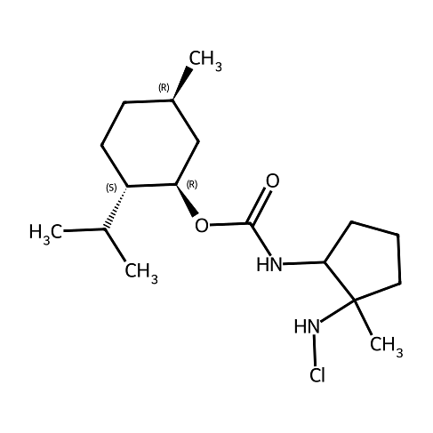 CC(C)[C@@H]1CC[C@@H](C)C[C@H]1OC(=O)NC1CCCC1(C)NCl